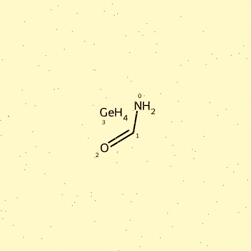 NC=O.[GeH4]